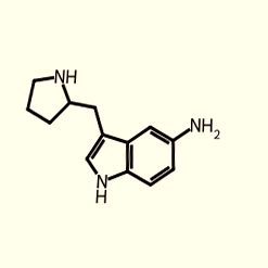 Nc1ccc2[nH]cc(CC3CCCN3)c2c1